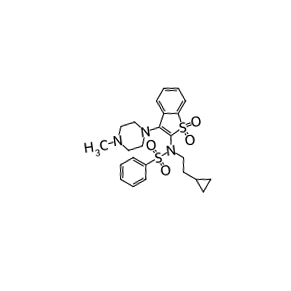 CN1CCN(C2=C(N(CCC3CC3)S(=O)(=O)c3ccccc3)S(=O)(=O)c3ccccc32)CC1